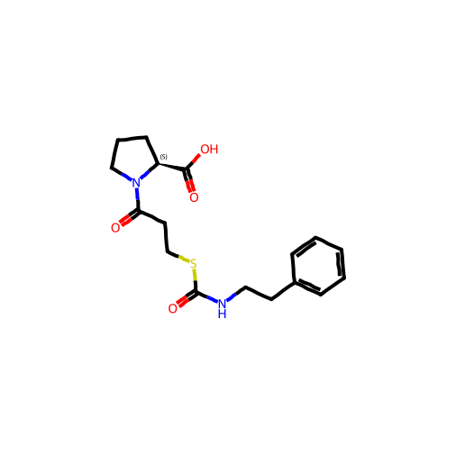 O=C(NCCc1ccccc1)SCCC(=O)N1CCC[C@H]1C(=O)O